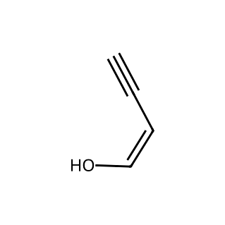 C#C/C=C\O